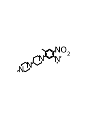 Cc1cc([N+](=O)[O-])c(N(C)C)cc1N1CCC(N2CCN(C)CC2)CC1